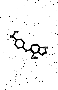 CCCNC1CCC(Oc2ccc3[nH]ncc3c2OC)CC1